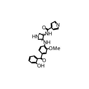 COc1cc(C(=O)c2ccccc2O)ccc1N[C@@H]1CNC[C@H]1NC(=O)c1ccncc1